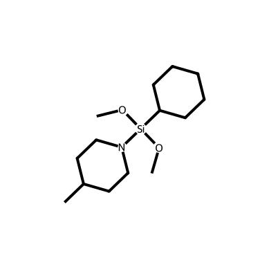 CO[Si](OC)(C1CCCCC1)N1CCC(C)CC1